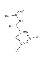 Cc1cc(C(=O)NN(C(=O)O)C(C)(C)C)cc(Cl)n1